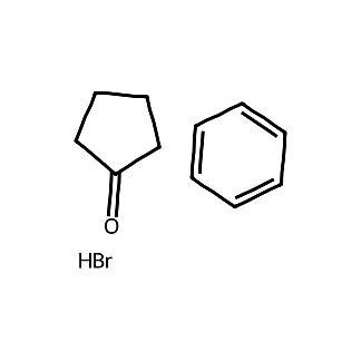 Br.O=C1CCCC1.c1ccccc1